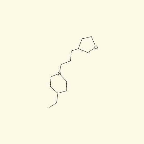 [CH2]CC1CCN(CCCC2CCOC2)CC1